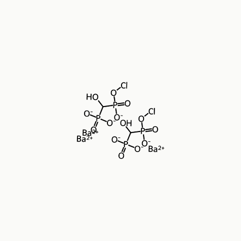 O=P([O-])([O-])C(O)P(=O)([O-])OCl.O=P([O-])([O-])C(O)P(=O)([O-])OCl.[Ba+2].[Ba+2].[Ba+2]